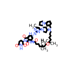 Cc1cc(N2CCC(N(CCCCCC(C)(C)OCCC(C)(C)CCCC(=O)Nc3cccc4c3C(=O)N(C3CCC(=O)NC3=O)C4=O)Cc3cccc(N4CCCC4)c3)CC2)nc(N)n1